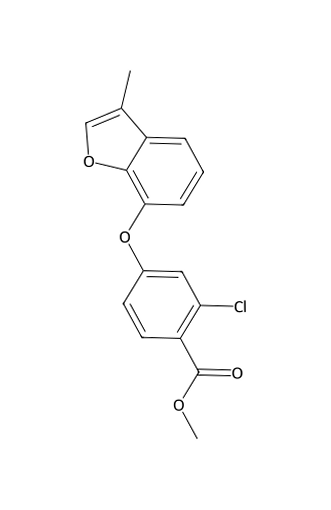 COC(=O)c1ccc(Oc2cccc3c(C)coc23)cc1Cl